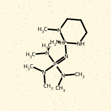 CN(C)P(=N[PH]1(N)NCCCN1C)(N(C)C)N(C)C